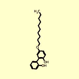 CCCCCCCCCCOc1ccc(O)c(-c2ccccc2O)c1